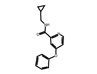 O=C(NCC1CC1)c1cc(Oc2ccccc2)ccn1